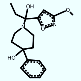 CCC(O)(c1cc(OC)no1)N1CCC(O)(c2ccccc2)CC1